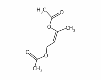 CC(=O)OCC=C(C)OC(C)=O